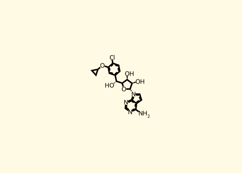 Nc1ncnc2c1ccn2[C@@H]1OC([C@H](O)c2ccc(Cl)c(OC3CC3)c2)[C@@H](O)[C@H]1O